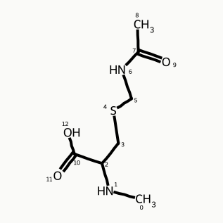 CNC(CSCNC(C)=O)C(=O)O